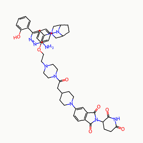 Nc1nnc(-c2ccccc2O)cc1N1CC2CCC(C1)N2c1cccc(OCCN2CCN(C(=O)CC3CCN(c4ccc5c(c4)C(=O)N(C4CCC(=O)NC4=O)C5=O)CC3)CC2)c1